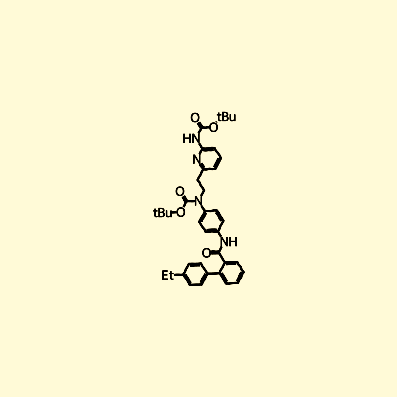 CCc1ccc(-c2ccccc2C(=O)Nc2ccc(N(CCc3cccc(NC(=O)OC(C)(C)C)n3)C(=O)OC(C)(C)C)cc2)cc1